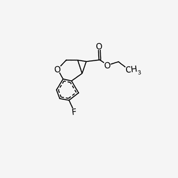 CCOC(=O)C1C2COc3ccc(F)cc3C21